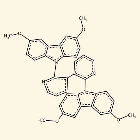 COc1ccc2c(c1)c1cc(OC)ccc1n2-c1ncccc1-c1cccnc1-n1c2ccc(OC)cc2c2cc(OC)ccc21